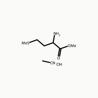 CC#N.COC(=O)C(N)CCSC.Cl